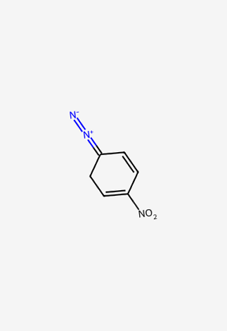 [N-]=[N+]=C1C=CC([N+](=O)[O-])=CC1